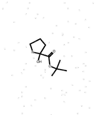 CC(C)(C)OC(=O)C1(O)CCC[N]1